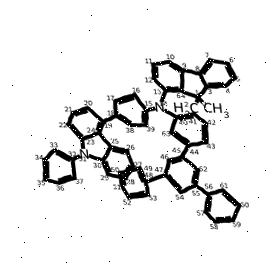 CC1(C)c2ccccc2-c2cccc(N(c3ccc(-c4cccc5c4c4ccccc4n5-c4ccccc4)cc3)c3cccc(-c4cc(-c5ccccc5)cc(-c5ccccc5)c4)c3)c21